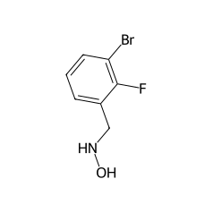 ONCc1cccc(Br)c1F